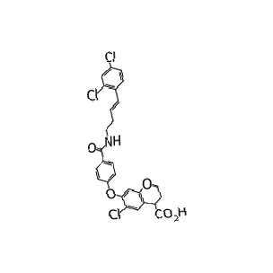 O=C(NCCC=Cc1ccc(Cl)cc1Cl)c1ccc(Oc2cc3c(cc2Cl)C(C(=O)O)CCO3)cc1